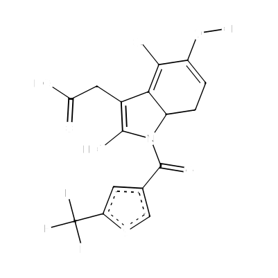 COC1=CCC2C(=C1Cl)C(CC(=O)O)=C(C)N2C(=O)c1csc(C(F)(F)F)c1